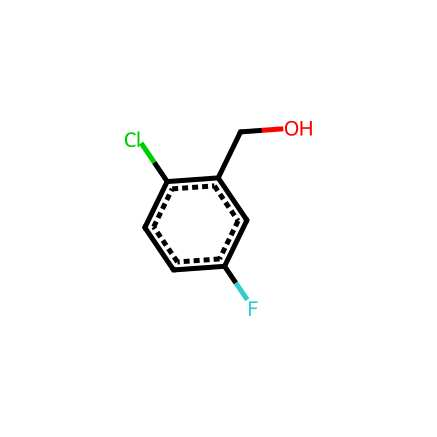 OCc1cc(F)ccc1Cl